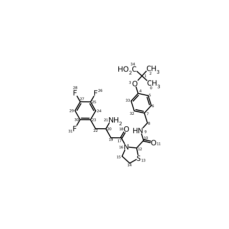 CC(C)(Oc1ccc(CNC(=O)C2SCCN2C(=O)CC(N)Cc2cc(F)c(F)cc2F)cc1)C(=O)O